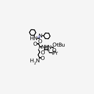 CC(C)C[C@H](NC(=O)OC(C)(C)C)C(=O)N[C@H](CCCC(N)=O)C(=O)O/C(=N\C1CCCCC1)NC1CCCCC1